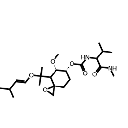 CNC(=O)C(NC(=O)O[C@@H]1CC[C@]2(CO2)C(C(C)(C)O/C=C/C(C)C)[C@@H]1OC)C(C)C